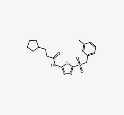 Cc1cccc(CS(=O)(=O)c2nnc(NC(=O)CCC3CCCC3)s2)c1